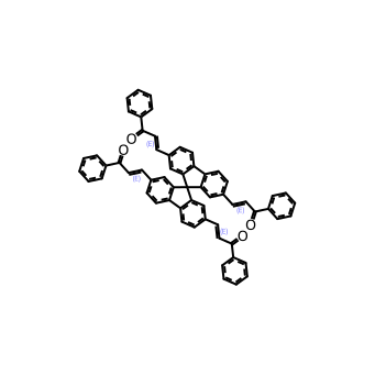 O=C(/C=C/c1ccc2c(c1)C1(c3cc(/C=C/C(=O)c4ccccc4)ccc3-2)c2cc(/C=C/C(=O)c3ccccc3)ccc2-c2ccc(/C=C/C(=O)c3ccccc3)cc21)c1ccccc1